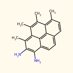 Cc1ccc2ccc3c(N)c(N)c(C)c4c(C)c(C)c1c2c34